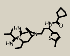 C=C1C(CC(CC)N(C(C)=N)C(=N)C(C)C)N1CCC(NC(=O)C1CCCC1)c1ccc(C)s1